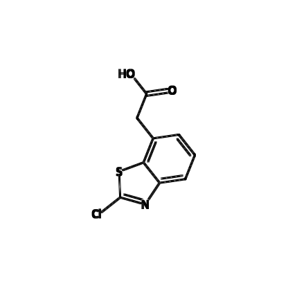 O=C(O)Cc1cccc2nc(Cl)sc12